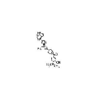 CN(C)c1ccc(C(=O)N2CCC(N3CC(CC#N)(n4cc(-c5ncnc6[nH]ccc56)cn4)C3)CC2)cc1C#N